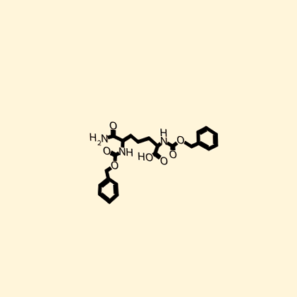 NC(=O)C(CCCC(NC(=O)OCc1ccccc1)C(=O)O)NC(=O)OCc1ccccc1